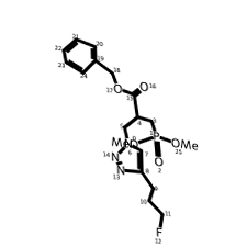 COP(=O)(CC(Cn1cc(CCCF)nn1)C(=O)OCc1ccccc1)OC